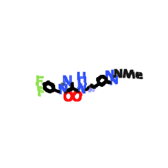 CNc1ncc2cc(/C=C/CNC(=O)c3cncn(Cc4ccc(F)c(F)c4)c3=O)ccc2n1